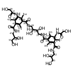 O=C(CO)Nc1c(I)c(C(=O)NCC(O)CO)c(I)c(C(=O)NC[C@@H](O)[C@@H](O)CNC(=O)c2c(I)c(NC(=O)CO)c(I)c(C(=O)NCC(O)CO)c2I)c1I